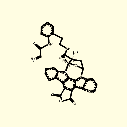 C=CC(=O)Nc1ccccc1CCNC(=O)[C@@]1(O)CC2O[C@]1(C)n1c3ccccc3c3c4c(c5c6ccccc6n2c5c31)C(=O)NC4=O